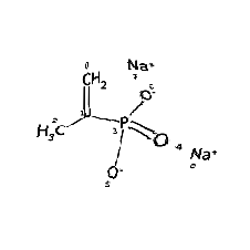 C=C(C)P(=O)([O-])[O-].[Na+].[Na+]